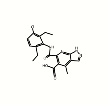 CCc1ccc(Cl)c(CC)c1NC(=O)c1nc2[nH]ncc2c(C)c1C(=O)O